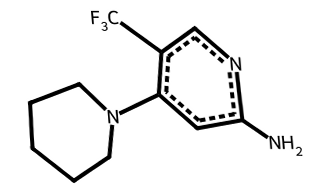 Nc1cc(N2CCCCC2)c(C(F)(F)F)cn1